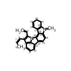 C=Cc1c(/C=C\C)c2cccc3c4ccc5c(c6c(n5C)CCC=C6)c4n1c23